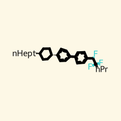 CCCCCCC[C@H]1CC[C@H](c2ccc(-c3ccc(C(F)C(F)(F)CCC)cc3)cc2)CC1